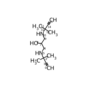 C#CC(C)(C)NCC(O)CNC(C)(C)C#C